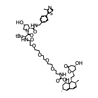 Cc1ncsc1-c1ccc(CNC(=O)[C@@H]2C[C@@H](O)CN2C(=O)[C@@H](NC(=O)COCCOCCOCCOCCNC(=O)O[C@H]2C[C@@H](C)C=C3C=C[C@H](C)[C@H](CC[C@@H]4C[C@@H](O)CC(=O)O4)[C@H]32)C(C)(C)C)cc1